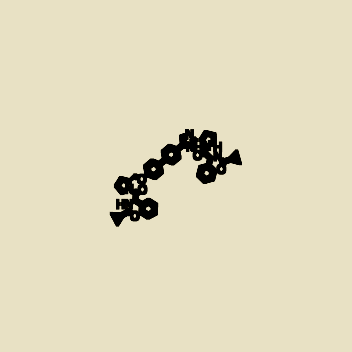 O=C(N[C@@H](C(=O)N1CCC[C@H]1COc1ccc(-c2ccc(-c3cnc([C@@H]4CCCN4C(=O)[C@H](NC(=O)C4CC4)c4ccccc4)[nH]3)cc2)cc1)c1ccccc1)C1CC1